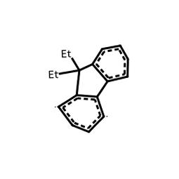 CCC1(CC)c2[c]cc[c]c2-c2ccccc21